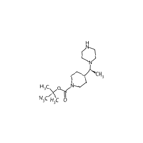 C[C@@H](C1CCN(C(=O)OC(C)(C)C)CC1)N1CCNCC1